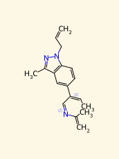 C=CCn1nc(C)c2cc(C(/C=N\C(=C)C)=C/C)ccc21